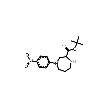 CC(C)(C)OC(=O)C1CN(c2ccc([N+](=O)[O-])cc2)CCCN1